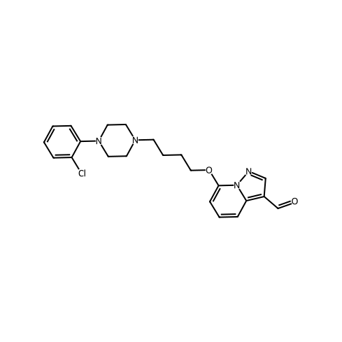 O=Cc1cnn2c(OCCCCN3CCN(c4ccccc4Cl)CC3)cccc12